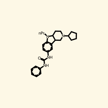 CCCN1c2ccc(NC(=O)Nc3ccccc3)cc2C2CN(C3CCCC3)CCC21